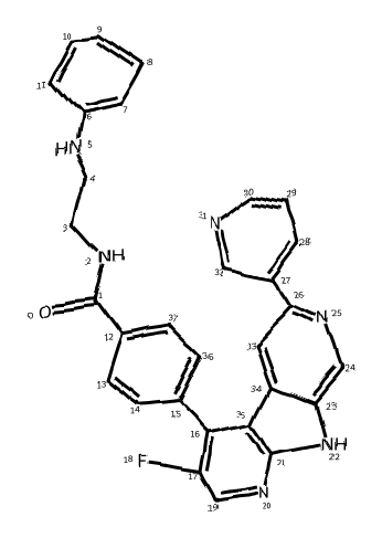 O=C(NCCNc1ccccc1)c1ccc(-c2c(F)cnc3[nH]c4cnc(-c5cccnc5)cc4c23)cc1